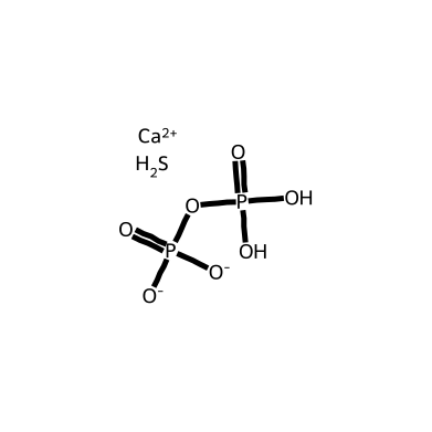 O=P([O-])([O-])OP(=O)(O)O.S.[Ca+2]